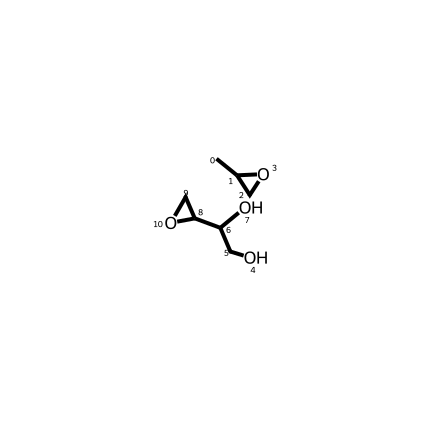 CC1CO1.OCC(O)C1CO1